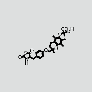 Cc1c(C)c2c(c(C)c1OC(C)(C)C(=O)O)CCC(C)(COc1ccc(CC3NC(=O)SC3=O)cc1)O2